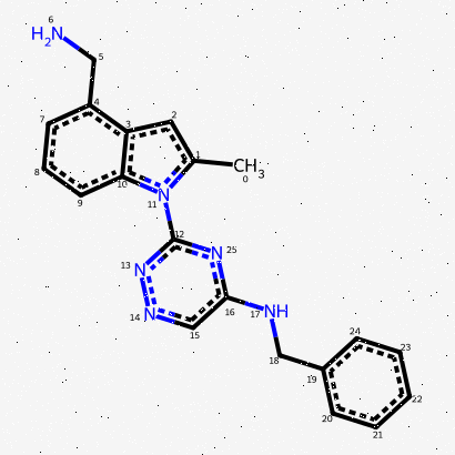 Cc1cc2c(CN)cccc2n1-c1nncc(NCc2ccccc2)n1